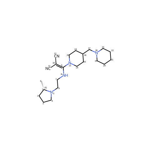 C[C@H]1CCCN1CCNC(=C(C#N)C#N)N1CCC(CN2CCCCC2)CC1